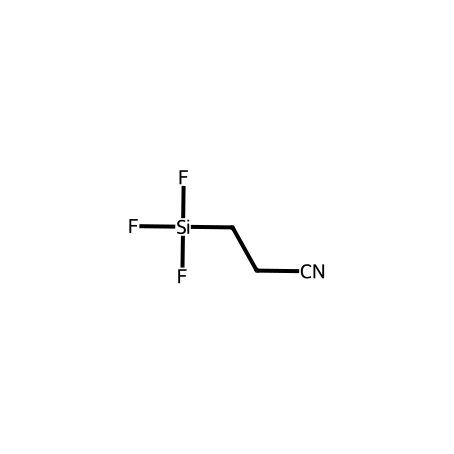 N#CCC[Si](F)(F)F